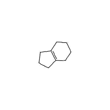 [CH]1CCC2=C(C1)CCC2